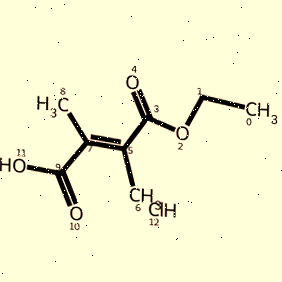 CCOC(=O)/C(C)=C(\C)C(=O)O.Cl